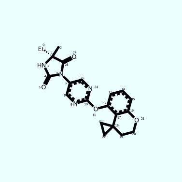 CC[C@@]1(C)NC(=O)N(c2cnc(Oc3cccc4c3C3(CCO4)CC3)nc2)C1=O